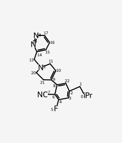 CC(C)Cc1cc(F)c(C#N)c(C2=CCN(Cc3cccnn3)CC2)c1